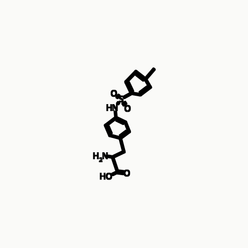 Cc1ccc(S(=O)(=O)Nc2ccc(CC(N)C(=O)O)cc2)cc1